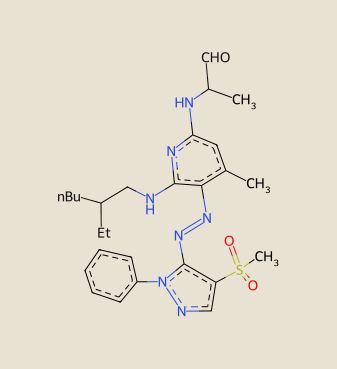 CCCCC(CC)CNc1nc(NC(C)C=O)cc(C)c1N=Nc1c(S(C)(=O)=O)cnn1-c1ccccc1